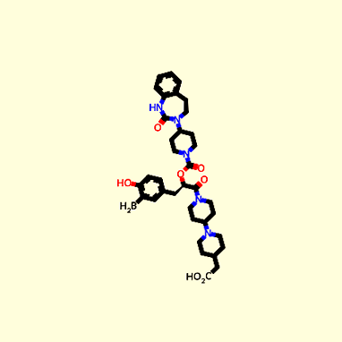 Bc1cc(C[C@@H](OC(=O)N2CCC(N3CCc4ccccc4NC3=O)CC2)C(=O)N2CCC(N3CCC(CC(=O)O)CC3)CC2)ccc1O